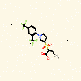 CCC(C(=O)O)S(=O)(=O)C1CCN(c2ccc(C(F)(F)F)cc2C(F)(F)F)C1